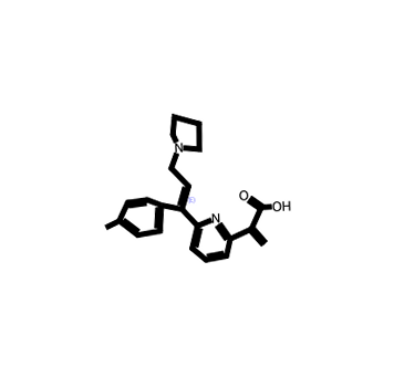 C=C(C(=O)O)c1cccc(/C(=C/CN2CCCC2)c2ccc(C)cc2)n1